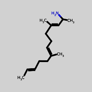 CC=CCCC(C)=CCCC(C)=CC(C)N